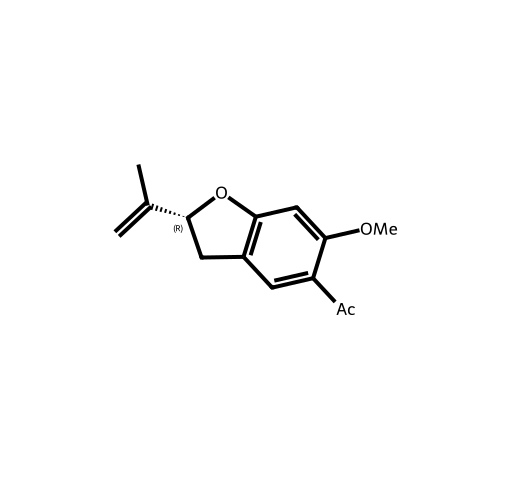 C=C(C)[C@H]1Cc2cc(C(C)=O)c(OC)cc2O1